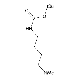 CNCCCCNC(=O)OC(C)(C)C